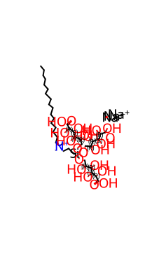 CCCCCCCCCCCCCCCCC[N+](C)(C)CCC[Si](OC[C@@H](O)[C@@H](O)[C@H](O)[C@@H](O)C(=O)O)(OC[C@@H](O)[C@@H](O)[C@H](O)[C@@H](O)C(=O)O)OC[C@@H](O)[C@@H](O)[C@H](O)[C@@H](O)C(=O)O.[Na+].[Na+].[Na+]